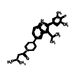 Cc1cc(-c2[nH]c3ccc(C4CCN(C(=O)CN(C)C)CC4)cc3c2C(C)C)cn(C)c1=O